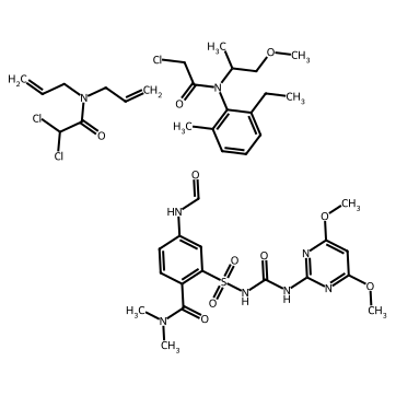 C=CCN(CC=C)C(=O)C(Cl)Cl.CCc1cccc(C)c1N(C(=O)CCl)C(C)COC.COc1cc(OC)nc(NC(=O)NS(=O)(=O)c2cc(NC=O)ccc2C(=O)N(C)C)n1